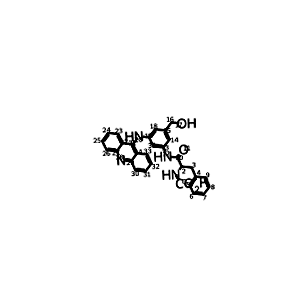 O=C(O)NC(Cc1ccccc1)C(=O)Nc1cc(CO)cc(Nc2c3ccccc3nc3ccccc23)c1